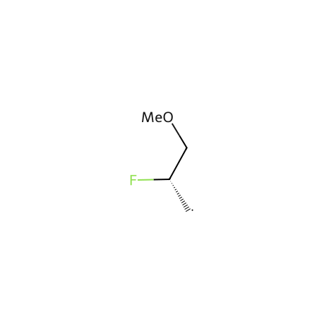 [CH2][C@H](F)COC